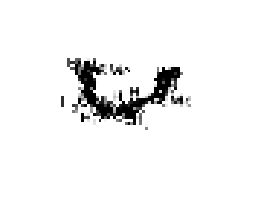 COCCOP(=O)(O)Nc1ccc2c(ccn2C(=O)c2cc(NC(=O)c3cc(NC(=O)c4nc(NC(=O)CCCOc5cc6c(cc5OC)C(=O)N5c7ccccc7C[C@H]5C=N6)cn4C)cn3C)cn2C)c1